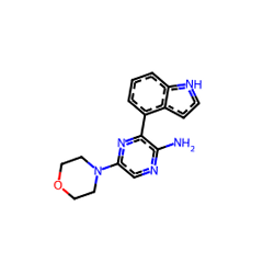 Nc1ncc(N2CCOCC2)nc1-c1cccc2[nH]ccc12